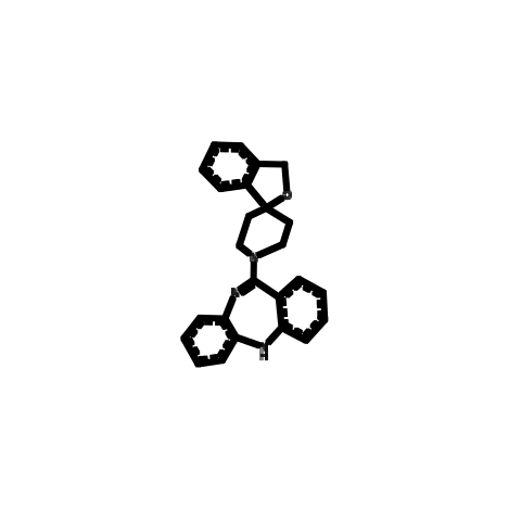 c1ccc2c(c1)COC21CCN(C2=Nc3ccccc3Nc3ccccc32)CC1